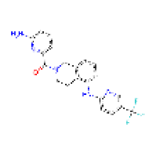 Nc1cccc(C(=O)N2CCc3c(cccc3Nc3ccc(C(F)(F)F)cn3)C2)n1